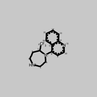 FC(F)(F)C1CCNCCN1c1ccnc2ccccc12